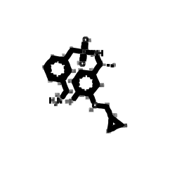 C[C@@H](NS(=O)(=O)Cc1cccc(CN)c1)c1ccc(F)c(OCC2CC2)c1